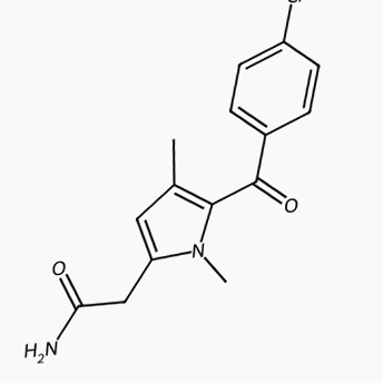 Cc1cc(CC(N)=O)n(C)c1C(=O)c1ccc(Cl)cc1